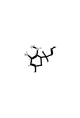 CC=CC(C)(C)C1CC(C)=CC(S)=C1OCl